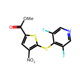 COC(=O)c1cc([N+](=O)[O-])c(Sc2c(F)cncc2F)s1